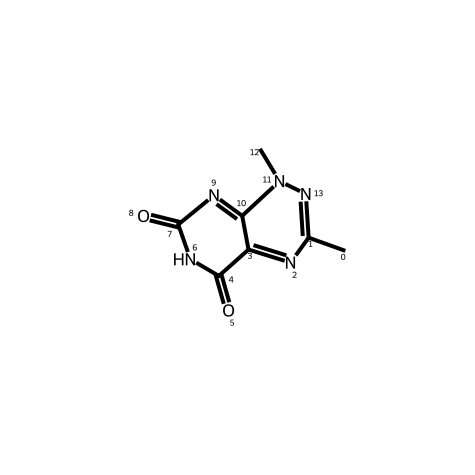 Cc1nc2c(=O)[nH]c(=O)nc-2n(C)n1